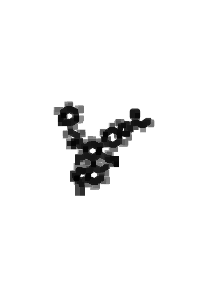 C=CC(=O)N1CC2(CCN(c3cc(NCCc4ccccn4)c(F)c(-c4c(C)ccc5[nH]ncc45)c3C#N)CC2)C1